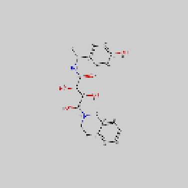 CC(NC(=O)[C@H](O)[C@@H](O)C(=O)N1CCc2ccccc2C1)c1ccc(O)cc1